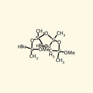 CCCC[Si](C)(OC)O[Si](C)(CCCC)O[Si](C)(CCCC)O[Si](C)(C)OC